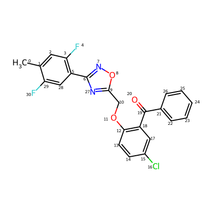 Cc1cc(F)c(-c2noc(COc3ccc(Cl)cc3C(=O)c3ccccc3)n2)cc1F